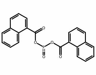 O=C(O[PH](=O)OC(=O)c1cccc2ccccc12)c1cccc2ccccc12